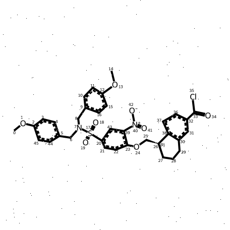 COc1ccc(CN(Cc2ccc(OC)cc2)S(=O)(=O)c2ccc(OC[C@@H]3CCCc4cc(C(=O)Cl)ccc43)c([N+](=O)[O-])c2)cc1